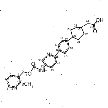 Cc1ncccc1COC(=O)Nc1ccc(-c2ccc(C3CCC(CC(=O)O)CC3)cc2)nc1